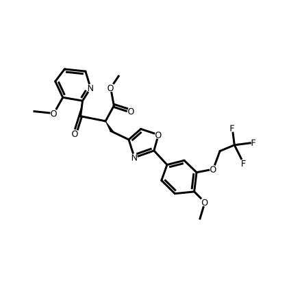 COC(=O)[C@@H](Cc1coc(-c2ccc(OC)c(OCC(F)(F)F)c2)n1)C(=O)c1ncccc1OC